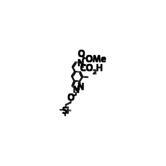 COC(=O)N(/C=C\c1cc(C)c2nn(COCC[Si](C)(C)C)cc2c1)C(=O)O